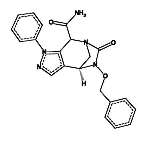 NC(=O)C1c2c(cnn2-c2ccccc2)[C@H]2CN1C(=O)N2OCc1ccccc1